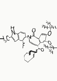 [2H]C([2H])([2H])Oc1cc2c(C(=O)N3CCCCC3)cn(-c3ccc4[nH]c(C)cc4c3F)c(=O)c2cc1OC([2H])([2H])[2H]